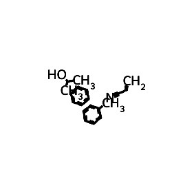 C=CC#N.CC(C)O.Cc1ccccc1.c1ccccc1